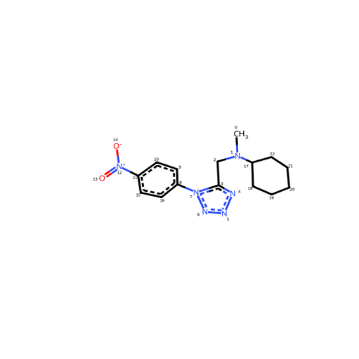 CN(Cc1nnnn1-c1ccc([N+](=O)[O-])cc1)C1CCCCC1